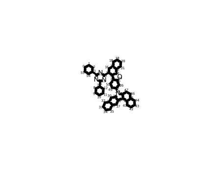 c1ccc(-c2nc(-c3ccccc3)nc(-c3cc4ccccc4c4oc5cc(-n6c7cc8ccccc8cc7c7c8ccccc8ccc76)ccc5c34)n2)cc1